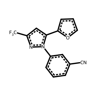 N#Cc1cccc(-n2nc(C(F)(F)F)cc2-c2ccco2)c1